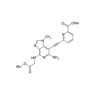 COC(=O)c1cccc(C#Cc2c(N)nc(NCC(=O)OC(C)(C)C)c3ncn(C)c23)n1